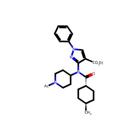 CCOC(=O)c1cn(-c2ccccc2)nc1N(C(=O)[C@H]1CC[C@H](C)CC1)C1CCN(C(C)=O)CC1